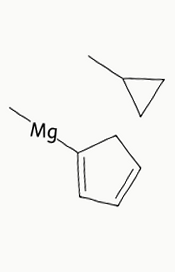 CC1CC1.[CH3][Mg][C]1=CC=CC1